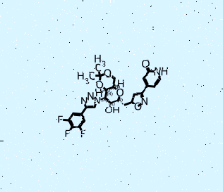 CC1(C)OC[C@H]2O[C@H](CC3CC(c4cc[nH]c(=O)c4)=NO3)[C@H](O)[C@@H](n3cc(-c4cc(F)c(F)c(F)c4)nn3)[C@H]2O1